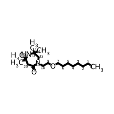 CCCCCCCCOCCN1CC(C)(C)NC(C)(C)CC1=O